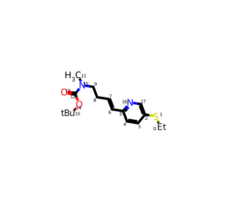 CCSc1ccc(C=CCCN(C)C(=O)OC(C)(C)C)nc1